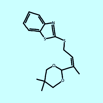 CC(=CCSc1nc2ccccc2s1)C1OCC(C)(C)CO1